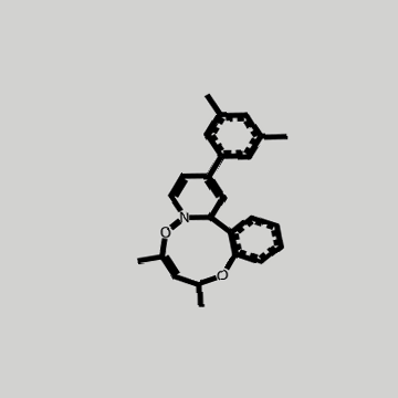 C/C1=C/C(C)Oc2ccccc2C2C=C(c3cc(C)cc(C)c3)C=CN2O1